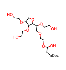 CCCCCCCCCCCC(O)OCCOCC(OCCO)C1OCC(OCCO)C1OCCO